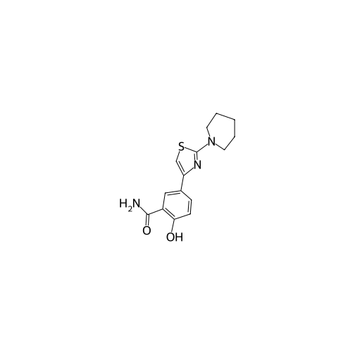 NC(=O)c1cc(-c2csc(N3CCCCC3)n2)ccc1O